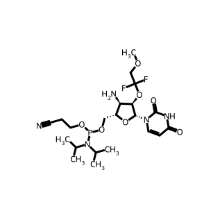 COCC(F)(F)O[C@@H]1[C@H](N)[C@@H](COP(OCCC#N)N(C(C)C)C(C)C)O[C@H]1n1ccc(=O)[nH]c1=O